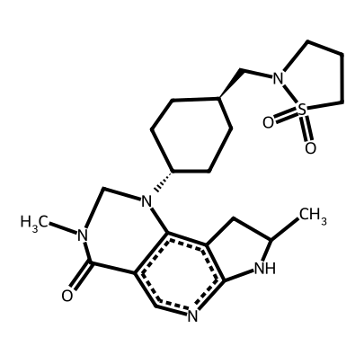 CC1Cc2c(ncc3c2N([C@H]2CC[C@H](CN4CCCS4(=O)=O)CC2)CN(C)C3=O)N1